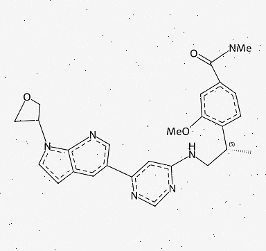 CNC(=O)c1ccc([C@H](C)CNc2cc(-c3cnc4c(ccn4C4COC4)c3)ncn2)c(OC)c1